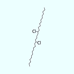 CCCCCCCCCCCCC(Cl)CCCCC(Cl)CCCCCCCCCCCC